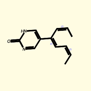 C\C=C/C=C(\C=C/C)c1cnc(=O)[nH]c1